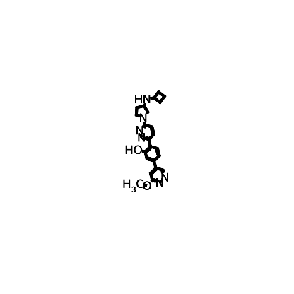 COc1cc(-c2ccc(-c3ccc(N4CC[C@@H](NC5CCC5)C4)nn3)c(O)c2)cnn1